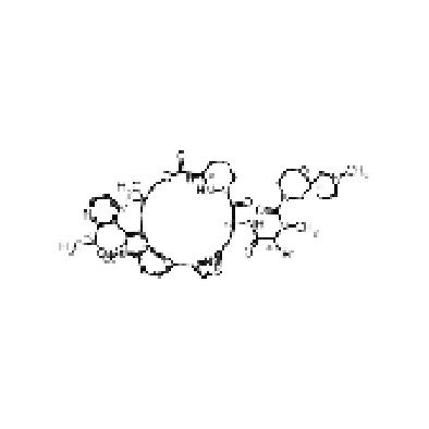 CCn1c(-c2cccnc2[C@H](C)OC)c2c3cc(ccc31)-c1csc(n1)C[C@H](NC(=O)[C@H](C(C)C)N(C)C(=O)N1CCO[C@]3(CCN(C)C3)C1)C(=O)N1CCC[C@H](N1)C(=O)OCC(C)(C)C2